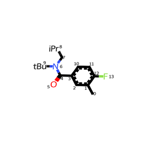 Cc1cc(C(=O)N(CC(C)C)C(C)(C)C)ccc1F